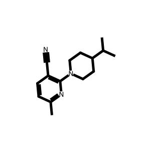 Cc1ccc(C#N)c(N2CCC(C(C)C)CC2)n1